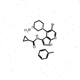 Cc1ccccc1.N[C@@H]1CCCN(c2c(Br)cnc3[nH]cc(NC(=O)C4CC4)c23)C1